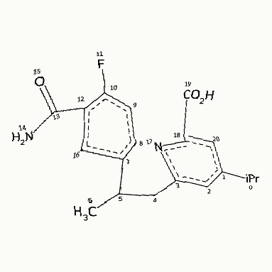 CC(C)c1cc(CC(C)c2ccc(F)c(C(N)=O)c2)nc(C(=O)O)c1